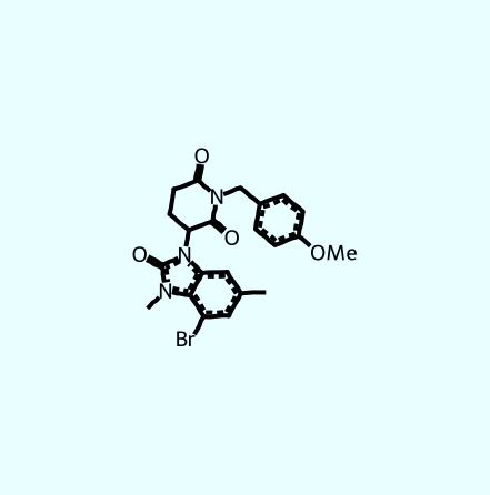 COc1ccc(CN2C(=O)CCC(n3c(=O)n(C)c4c(Br)cc(C)cc43)C2=O)cc1